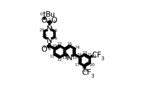 CC(C)(C)OC(=O)N1CCN(C(=O)c2ccc3nc(-c4cc(C(F)(F)F)cc(C(F)(F)F)c4)ccc3c2)CC1